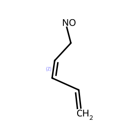 C=C/C=C\CN=O